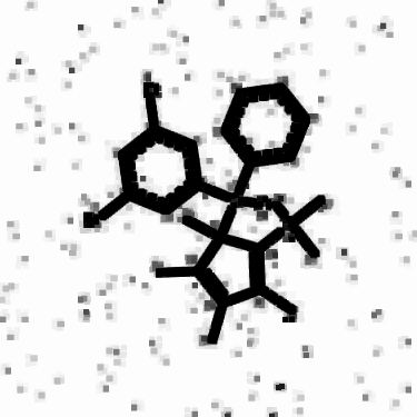 CCc1cc(CC)cc([Si](c2ccccc2)(C(C)C)C2(C)C(C)=C(C)C(C)=[C]2[Ti]([CH3])([CH3])[CH3])c1